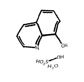 O.O=S(=O)(O)O.Oc1cccc2cccnc12